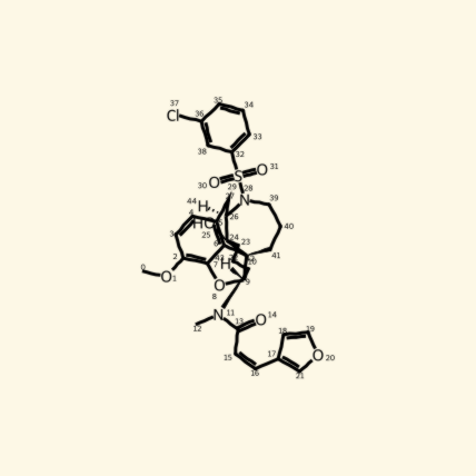 COc1ccc2c3c1O[C@H]1[C@H](N(C)C(=O)/C=C\c4ccoc4)CC[C@@]4(O)[C@@H](C2)N(S(=O)(=O)c2cccc(Cl)c2)CCC[C@]314